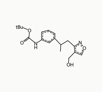 CC(Cc1nocc1CO)c1cccc(NC(=O)OC(C)(C)C)c1